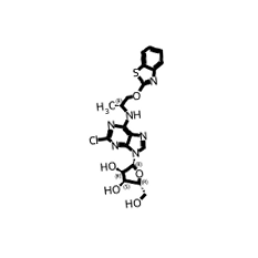 C[C@H](COc1nc2ccccc2s1)Nc1nc(Cl)nc2c1ncn2[C@@H]1O[C@H](CO)[C@@H](O)[C@H]1O